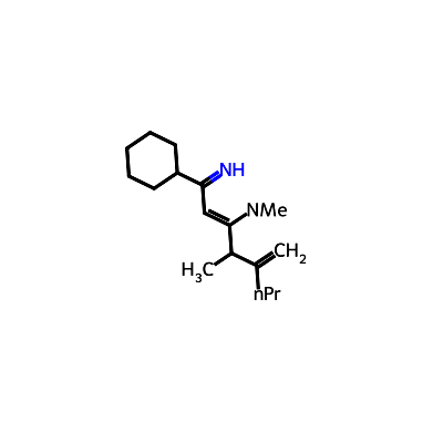 C=C(CCC)C(C)/C(=C/C(=N)C1CCCCC1)NC